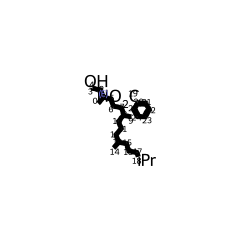 C/C(=C\CO)CCCC(C)CCCC(C)CCCC(C)C.O=C(O)c1ccccc1